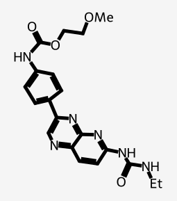 CCNC(=O)Nc1ccc2ncc(-c3ccc(NC(=O)OCCOC)cc3)nc2n1